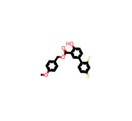 COc1ccc(COC(=O)c2cc(-c3ccc(F)cc3F)ccc2O)cc1